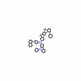 CC1(C)c2cc(N(c3ccc(-c4cccc5ccccc45)cc3)c3ccc4c5ccccc5n(-c5ccccc5)c4c3)ccc2-c2cc3c(cc21)C(C)(C)c1cccc(-c2ccccc2)c1-3